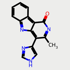 CC1=NC(=O)C2=c3ccccc3=NC2=C1c1c[nH]cn1